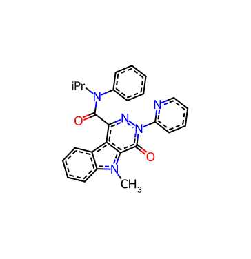 CC(C)N(C(=O)c1nn(-c2ccccn2)c(=O)c2c1c1ccccc1n2C)c1ccccc1